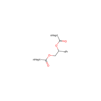 CCCCCCCC(=O)OCC(CCC)OC(=O)CCCCCCC